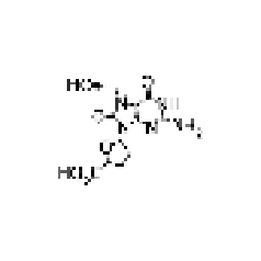 C#CCn1c(=O)n(C2CCC(C(=O)O)O2)c2nc(N)[nH]c(=O)c21